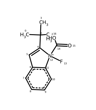 CC(C)(C)C1=Cc2ccccc2[N+]1(F)C(=O)O